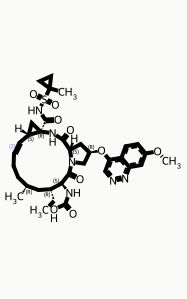 CC[C@@H]1C[C@H](C)CC/C=C\[C@@H]2C[C@@]2(C(=O)NS(=O)(=O)C2(C)CC2)NC(=O)[C@@H]2C[C@@H](Oc3cnnc4cc(OC)ccc34)CN2C(=O)[C@H]1NC(=O)O